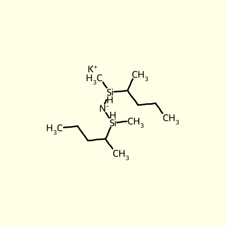 CCCC(C)[SiH](C)[N-][SiH](C)C(C)CCC.[K+]